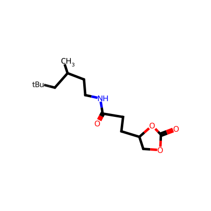 CC(CCNC(=O)CCC1COC(=O)O1)CC(C)(C)C